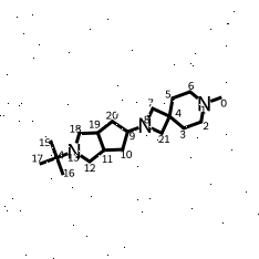 CN1CCC2(CC1)CN(C1CC3CN(C(C)(C)C)CC3C1)C2